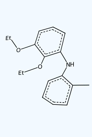 CCOc1cccc(Nc2ccccc2C)c1OCC